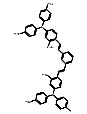 COc1ccc(N(c2ccc(C)cc2)c2ccc(/C=C/c3cccc(/C=C/c4ccc(N(c5ccc(OC)cc5)c5ccc(OC)cc5)cc4OC)c3)c(OC)c2)cc1